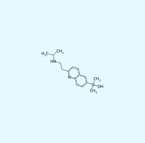 CC(C)NCCc1ccc2cc([Si](C)(C)O)ccc2n1